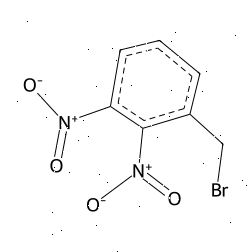 O=[N+]([O-])c1cccc(CBr)c1[N+](=O)[O-]